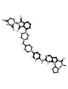 CN(C)C(=O)c1cc2cnc(Nc3ccc(N4CCC(CN5CCN(c6cccc7c6C(=O)N(N6CCC(=O)NC6=O)C7=O)CC5)CC4)cn3)nc2n1C1CCCC1